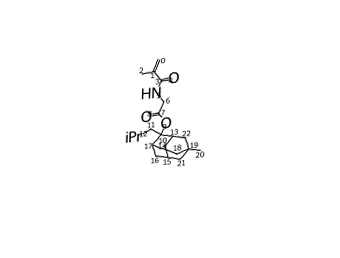 C=C(C)C(=O)NCC(=O)OC1(CC(C)C)C2CC3CC1CC(C)(C3)C2